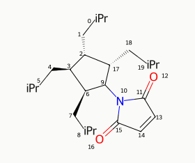 CC(C)C[C@H]1[C@H](CC(C)C)[C@H](CC(C)C)C(N2C(=O)C=CC2=O)[C@H]1CC(C)C